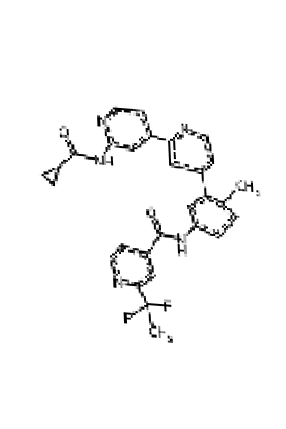 Cc1ccc(NC(=O)c2ccnc(C(C)(F)F)c2)cc1-c1ccnc(-c2ccnc(NC(=O)C3CC3)c2)c1